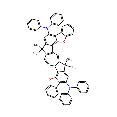 CC1(C)C2=C(C=C3C(C=C2)c2c(cc(N(c4ccccc4)c4ccccc4)c4c2oc2ccccc24)C3(C)C)c2c1cc(N(c1ccccc1)c1ccccc1)c1c2oc2ccccc21